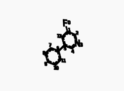 Fc1cncc(-c2c[c]ccc2)c1